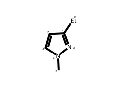 CCc1[c]cn(C)n1